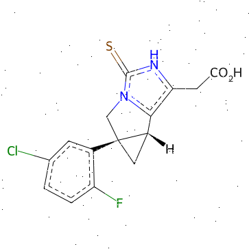 O=C(O)Cc1[nH]c(=S)n2c1[C@@H]1C[C@]1(c1cc(Cl)ccc1F)C2